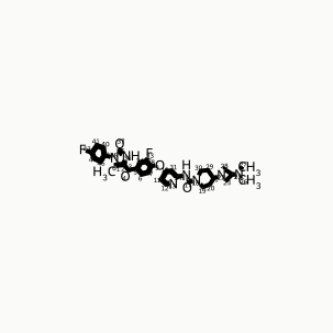 Cc1c(C(=O)c2ccc(Oc3ccnc(NC(=O)N4CCC(N5CC(N(C)C)C5)CC4)c3)c(F)c2)[nH]c(=O)n1-c1ccc(F)cc1